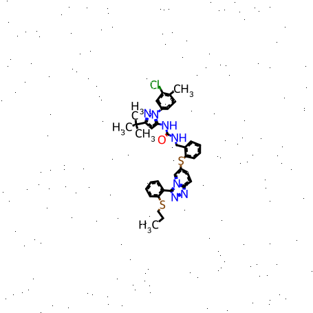 CCCSc1ccccc1-c1nnc2ccc(Sc3ccccc3CNC(=O)Nc3cc(C(C)(C)C)nn3-c3ccc(C)c(Cl)c3)cn12